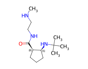 CNCCNC(=O)[C@@H]1CCC[C@@H]1NC(C)(C)C